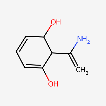 C=C(N)C1C(O)=CC=CC1O